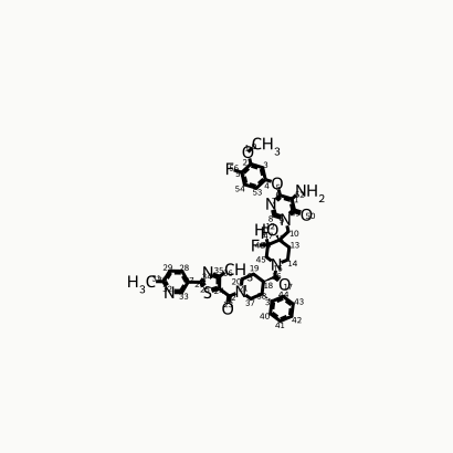 COc1cc(Oc2ncn(C[C@@]3(O)CCN(C(=O)[C@@H]4CCN(C(=O)c5sc(-c6ccc(C)nc6)nc5C)C[C@H]4c4ccccc4)CC3(F)F)c(=O)c2N)ccc1F